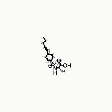 CCCC#Cc1ccc(S(=O)(=O)N[C@H](C)C(=O)O)cc1